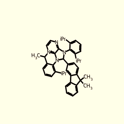 CC(C)c1cccc(C(C)C)c1N1c2ncc[n+]3c2N(c2c(C(C)C)cccc2C3C)C1c1ccc2c(c1)-c1ccccc1C2(C)C